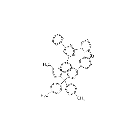 Cc1ccc(C(c2ccc(C)cc2)(c2ccc(C)cc2)c2ccc(-c3ccc4oc5cccc(-c6nc(-c7ccccc7)nc(-c7ccccc7)n6)c5c4c3)cc2)cc1